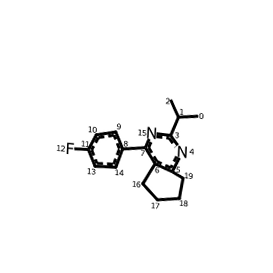 CC(C)c1nc2c(c(-c3ccc(F)cc3)n1)CCCC2